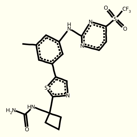 Cc1cc(Nc2nccc(S(=O)(=O)C(F)(F)F)n2)cc(-c2cnc(C3(NC(N)=O)CCC3)s2)c1